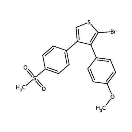 COc1ccc(-c2c(-c3ccc(S(C)(=O)=O)cc3)csc2Br)cc1